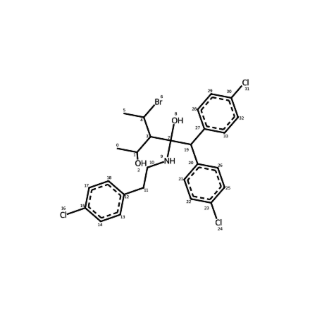 CC(O)C(C(C)Br)C(O)(NCCc1ccc(Cl)cc1)C(c1ccc(Cl)cc1)c1ccc(Cl)cc1